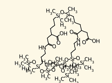 C[Si](C)(C)O[Si](C)(C)O[Si](C)(CCCNC(=O)CC(CCC[Si](C)(C)O[Si](C)(C)CCCC(CC(=O)O)C(=O)NCCC[Si](C)(O[Si](C)(C)C)O[Si](C)(C)O[Si](C)(C)C)C(=O)O)O[Si](C)(C)C